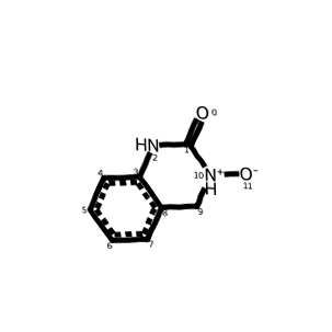 O=C1Nc2ccccc2C[NH+]1[O-]